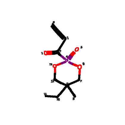 C=CC(=O)P1(=O)OCC(C)(CC)CO1